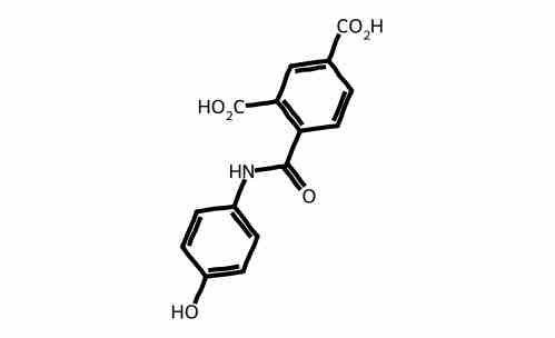 O=C(O)c1ccc(C(=O)Nc2ccc(O)cc2)c(C(=O)O)c1